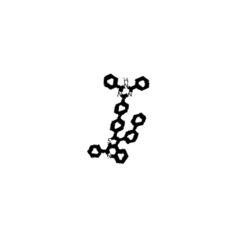 c1ccc(C2=NC(c3ccc(-c4ccc(C5Sc6c(-c7ccccc7)nc7ccccc7c6C5c5cccc(-c6ccccc6)c5)cc4)cc3)=NC(c3ccccc3)N2)cc1